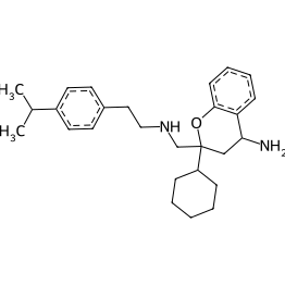 CC(C)c1ccc(CCNCC2(C3CCCCC3)CC(N)c3ccccc3O2)cc1